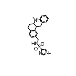 CNC1CCc2ccc(CNS(=O)(=O)c3cn(C)cn3)cc2C1Cc1ccccc1